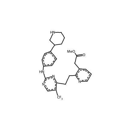 COC(=O)Cc1cccnc1CCc1nc(Nc2ccc(C3CCCNC3)cc2)ncc1C(F)(F)F